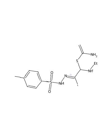 C=C(N)SC(NCC)/C(C)=N/NS(=O)(=O)c1ccc(C)cc1